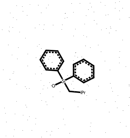 CC(C)C[Si]([O])(c1ccccc1)c1ccccc1